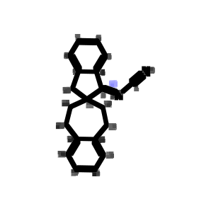 N#C/N=C1\c2ccccc2CC12CCc1ccccc1CC2